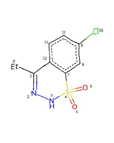 CCC1=NNS(=O)(=O)c2cc(Cl)ccc21